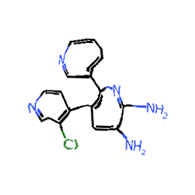 Nc1cc(-c2ccncc2Cl)c(-c2cccnc2)nc1N